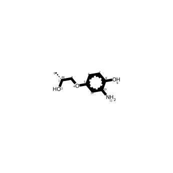 C[C@@H](O)COc1ccc(O)c(N)c1